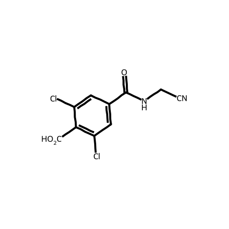 N#CCNC(=O)c1cc(Cl)c(C(=O)O)c(Cl)c1